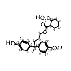 CC(CCCOC(=O)C1CCCCC1C(=O)O)(c1ccc(O)cc1)c1ccc(O)cc1